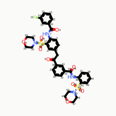 O=C(Cc1ccc(NC(=O)c2cccc(F)c2)c(S(=O)(=O)N2CCOCC2)c1)c1cccc(C(=O)Nc2ccccc2S(=O)(=O)N2CCOCC2)c1